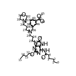 CCCCCC(=O)Nc1nc(OCCCC)nc2c1[nH]c(=O)n2CCCN(CCCN1CCOCC1)Cc1cccc(C(=O)OC)c1